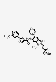 COC(=O)CCC1Nc2cc(N3CCOCC3)c(NC(=O)c3coc(-c4ccnc(C)c4)n3)cc2N1C